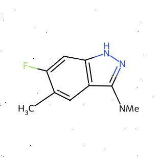 CNc1n[nH]c2cc(F)c(C)cc12